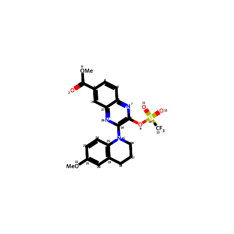 COC(=O)c1ccc2nc(OS(=O)(=O)C(F)(F)F)c(N3CCCc4cc(OC)ccc43)nc2c1